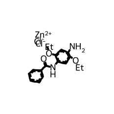 CCOc1cc(NC(=O)c2ccccc2)c(OCC)cc1N.[Cl-].[Cl-].[Zn+2]